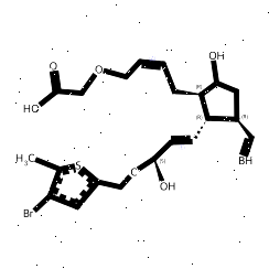 B=C[C@@H]1CC(O)[C@H](C/C=C\COCC(=O)O)[C@H]1/C=C/[C@@H](O)CCc1cc(Br)c(C)s1